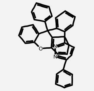 C1=CC2=C(CC1)C(c1ccccc1)(c1ccccc1-c1ccc(-c3ccccc3)nn1)c1ccccc1O2